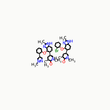 Cc1nc2c(Oc3ccccc3-c3cnn(C)c3)c(-c3cc(C)c(=O)n(C)c3)ccc2[nH]1.Cc1nc2c(Oc3ccccc3Br)c(-c3cc(C)c(=O)n(C)c3)ccc2[nH]1